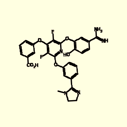 CN1CCN=C1c1cccc(Oc2nc(Oc3cc(C(=N)N)ccc3O)c(F)c(Oc3cccc(C(=O)O)c3)c2F)c1